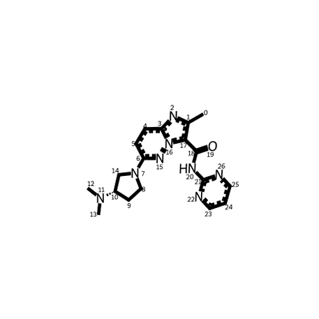 Cc1nc2ccc(N3CC[C@H](N(C)C)C3)nn2c1C(=O)Nc1ncccn1